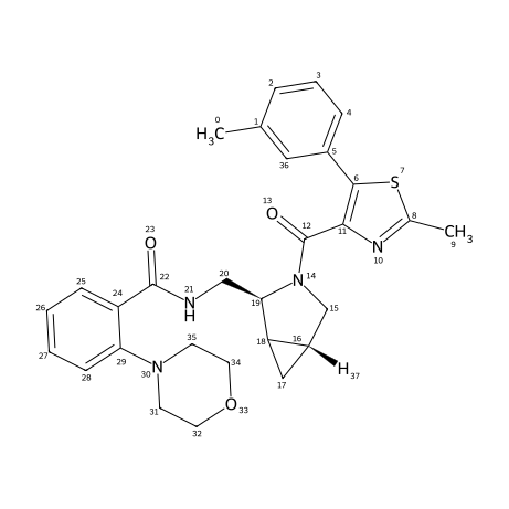 Cc1cccc(-c2sc(C)nc2C(=O)N2C[C@@H]3CC3[C@H]2CNC(=O)c2ccccc2N2CCOCC2)c1